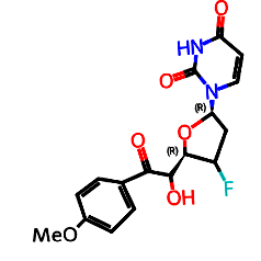 COc1ccc(C(=O)C(O)[C@H]2O[C@@H](n3ccc(=O)[nH]c3=O)CC2F)cc1